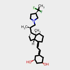 C[C@@H](CN1CC[C@@H](C(C)(F)F)C1)[C@H]1CC[C@H]2/C(=C/C=C3/C[C@@H](O)C[C@@H](O)C3)CCC[C@]12C